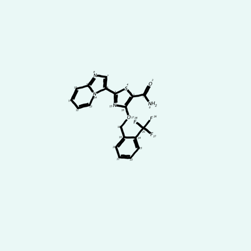 NC(=O)c1sc(-c2cnc3ccccn23)nc1OCc1ccccc1C(F)(F)F